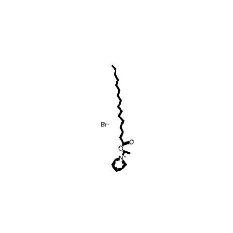 CCCCCCCCCCCCCCCC(=O)OC(C)[n+]1ccccc1.[Br-]